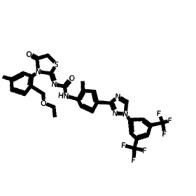 CCOCc1ccc(C)cc1N1C(=O)CSC1=NC(=O)Nc1ccc(-c2ncn(-c3cc(C(F)(F)F)cc(C(F)(F)F)c3)n2)cc1C